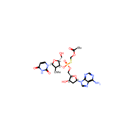 COC1[C@@H](OP(=O)(OC[C@H]2O[C@@H](n3cnc4c(N)ncnc43)C[C@H]2O)SCOC(=O)C(C)(C)C)[C@@H](CO)O[C@H]1n1ccc(=O)[nH]c1=O